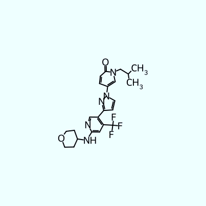 CC(C)Cn1cc(-n2ccc(-c3cnc(NC4CCOCC4)cc3C(F)(F)F)n2)ccc1=O